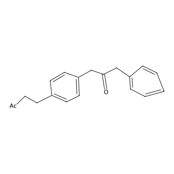 CC(=O)CCc1ccc(CC(=O)Cc2ccccc2)cc1